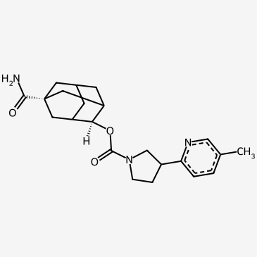 Cc1ccc(C2CCN(C(=O)O[C@H]3C4CC5CC3C[C@](C(N)=O)(C5)C4)C2)nc1